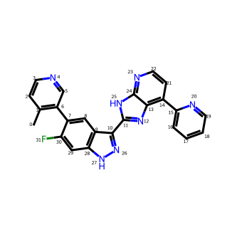 Cc1ccncc1-c1cc2c(-c3nc4c(-c5ccccn5)ccnc4[nH]3)n[nH]c2cc1F